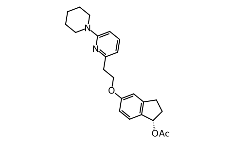 CC(=O)O[C@H]1CCc2cc(OCCc3cccc(N4CCCCC4)n3)ccc21